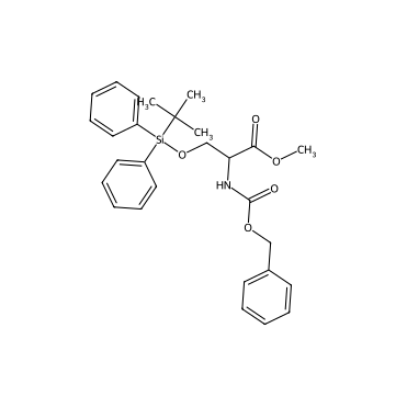 COC(=O)C(CO[Si](c1ccccc1)(c1ccccc1)C(C)(C)C)NC(=O)OCc1ccccc1